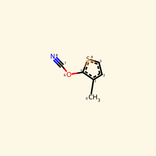 Cc1ccsc1OC#N